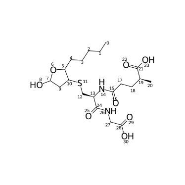 CCCCCC1OC(O)CC1SC[C@@H](NC(=O)CC[C@H](C)C(=O)O)C(=O)NCC(=O)O